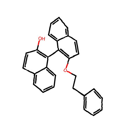 Oc1ccc2ccccc2c1-c1c(OCCc2ccccc2)ccc2ccccc12